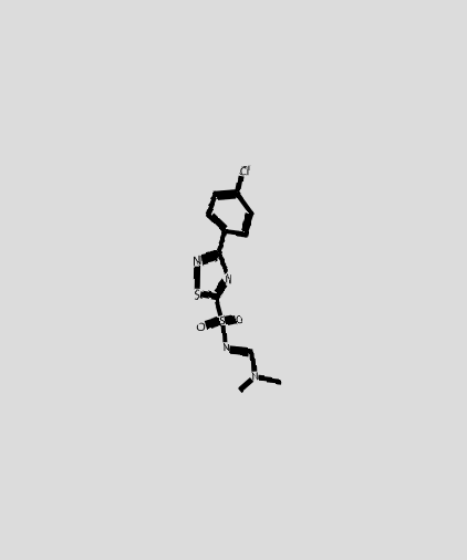 CN(C)C=NS(=O)(=O)c1nc(-c2ccc(Cl)cc2)ns1